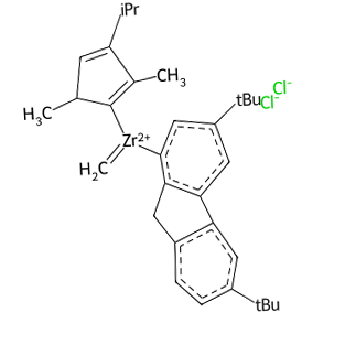 [CH2]=[Zr+2]([C]1=C(C)C(C(C)C)=CC1C)[c]1cc(C(C)(C)C)cc2c1Cc1ccc(C(C)(C)C)cc1-2.[Cl-].[Cl-]